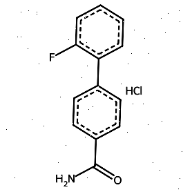 Cl.NC(=O)c1ccc(-c2ccccc2F)cc1